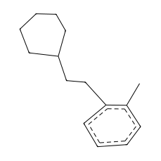 Cc1ccccc1CCC1CCCCC1